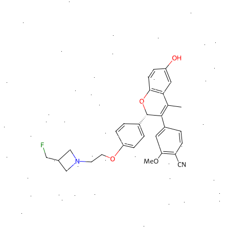 COc1cc(C2=C(C)c3cc(O)ccc3O[C@H]2c2ccc(OCCN3CC(CF)C3)cc2)ccc1C#N